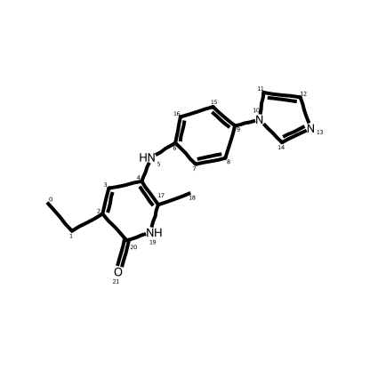 CCc1cc(Nc2ccc(-n3ccnc3)cc2)c(C)[nH]c1=O